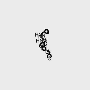 CN1C(=O)[C@@H](NC(=O)c2n[nH]c(Cc3ccccc3)n2)COc2ccc(N3CCC4(CCOCC4)C3)cc21